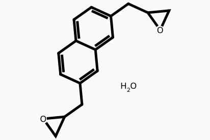 O.c1cc2ccc(CC3CO3)cc2cc1CC1CO1